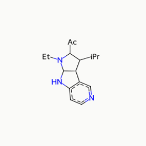 CCN1C2Nc3ccncc3C2C(C(C)C)C1C(C)=O